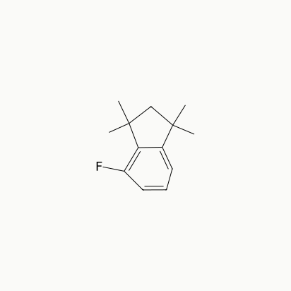 CC1(C)CC(C)(C)c2c(F)cccc21